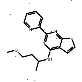 COCCC(C)Nc1nc(-c2ccccn2)nc2sccc12